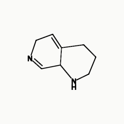 C1=NCC=C2CCCNC12